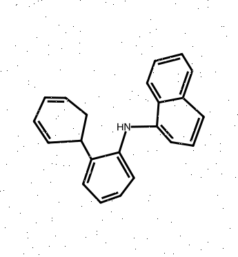 C1=CCC(c2ccccc2Nc2cccc3ccccc23)C=C1